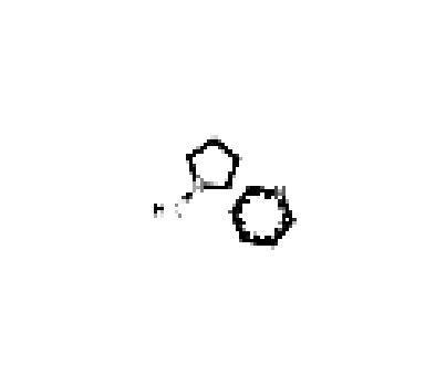 CN1CCCC1.c1ccncc1